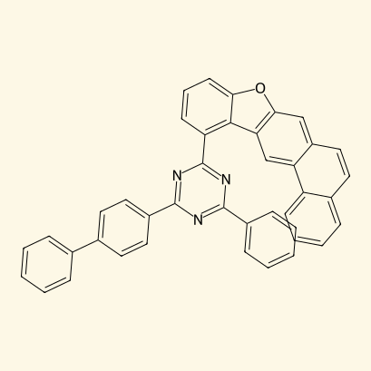 c1ccc(-c2ccc(-c3nc(-c4ccccc4)nc(-c4cccc5oc6cc7ccc8ccccc8c7cc6c45)n3)cc2)cc1